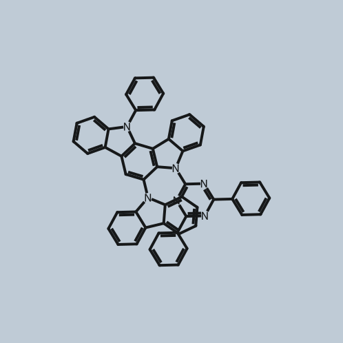 c1ccc(-c2nc(-c3ccccc3)nc(-n3c4ccccc4c4c3c(-n3c5ccccc5c5ccccc53)cc3c5ccccc5n(-c5ccccc5)c34)n2)cc1